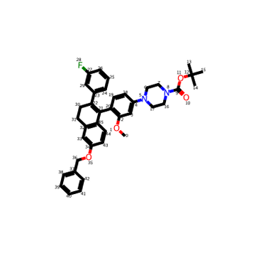 COc1cc(N2CCN(C(=O)OC(C)(C)C)CC2)ccc1C1=C(c2cccc(F)c2)CCc2cc(OCc3ccccc3)ccc21